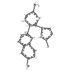 Cc1ccc(-c2nc(N)cnc2-c2ccc3cc(O)ccc3c2)o1